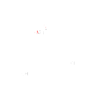 CCCCCCCCCCCCC[C](=O)[Mg][C](=O)CCCCCCCCCCCCC